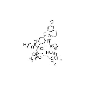 C=CCCCN(CC(O)(C(=O)OC)c1ccc2c(c1)N(C[C@@H]1CC[C@H]1[C@@H](O)C=C)C[C@@]1(CCCc3cc(Cl)ccc31)CO2)S(N)(=O)=O